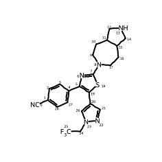 N#Cc1ccc(-c2nc(N3CCC4CNCC4CC3)sc2-c2cnn(CC(F)(F)F)c2)cc1